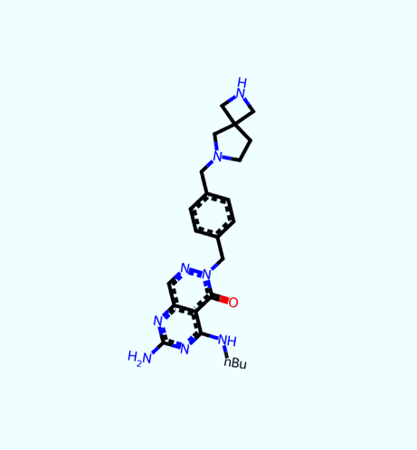 CCCCNc1nc(N)nc2cnn(Cc3ccc(CN4CCC5(CNC5)C4)cc3)c(=O)c12